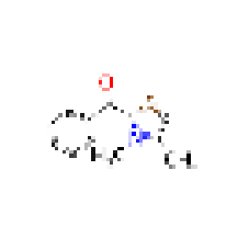 Cc1csc(C(=O)c2ccccc2)[n+]1C